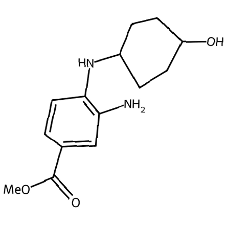 COC(=O)c1ccc(NC2CCC(O)CC2)c(N)c1